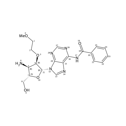 COCCO[C@@H]1[C@H](N)[C@@H](CO)O[C@H]1n1cnc2c(NC(=O)c3ccccc3)ncnc21